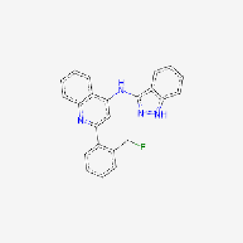 FCc1ccccc1-c1cc(Nc2n[nH]c3ccccc23)c2ccccc2n1